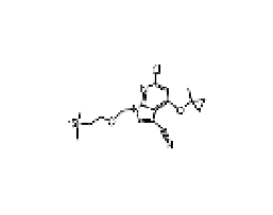 CC1(Oc2cc(Cl)nc3c2c(C#N)cn3COCC[Si](C)(C)C)CC1